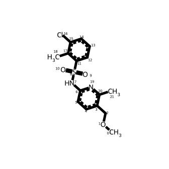 COCc1ccc(NS(=O)(=O)c2cccc(Cl)c2C)nc1C